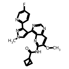 COc1cc2ncnc(-c3cn(C)nc3-c3ccc(F)cn3)c2nc1NC(=O)C12CC(C1)C2